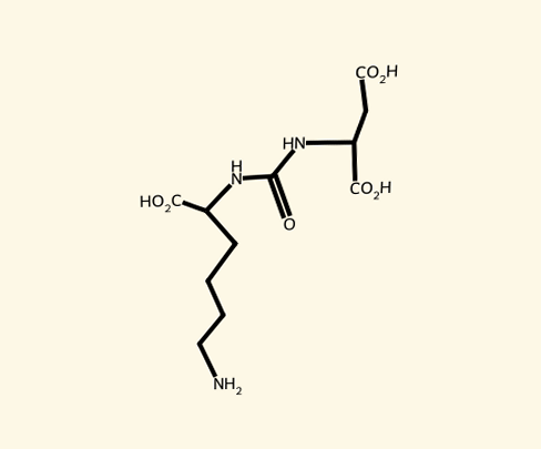 NCCCCC(NC(=O)NC(CC(=O)O)C(=O)O)C(=O)O